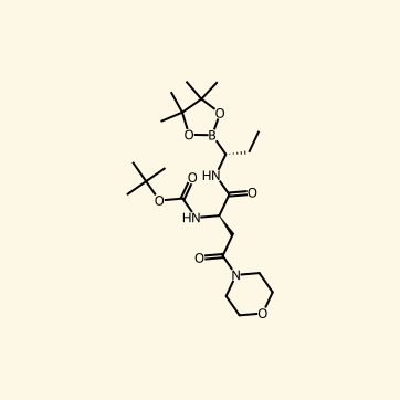 CC[C@H](NC(=O)[C@@H](CC(=O)N1CCOCC1)NC(=O)OC(C)(C)C)B1OC(C)(C)C(C)(C)O1